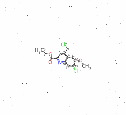 CCOC(=O)c1cc(CCl)c2cc(OC)c(Cl)cc2n1